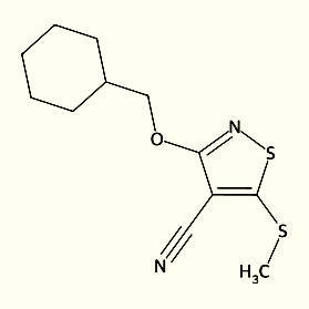 CSc1snc(OCC2CCCCC2)c1C#N